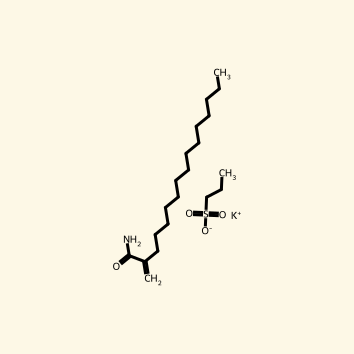 C=C(CCCCCCCCCCCCCC)C(N)=O.CCCS(=O)(=O)[O-].[K+]